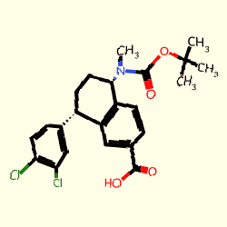 CN(C(=O)OC(C)(C)C)[C@H]1CC[C@@H](c2ccc(Cl)c(Cl)c2)c2cc(C(=O)O)ccc21